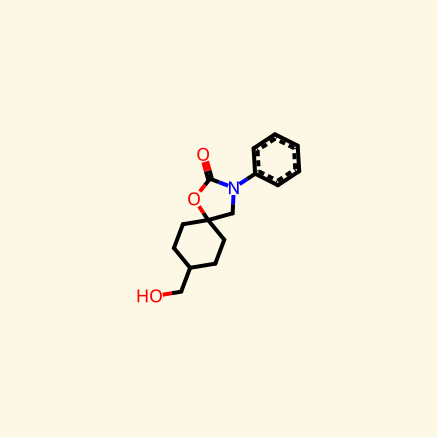 O=C1OC2(CCC(CO)CC2)CN1c1ccccc1